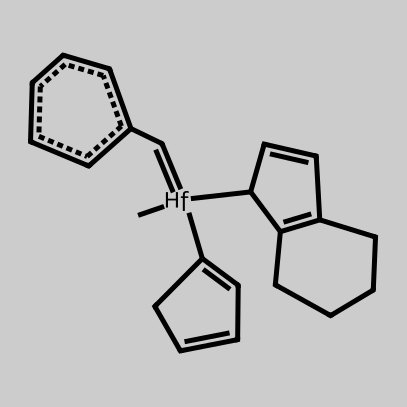 [CH3][Hf](=[CH]c1ccccc1)([C]1=CC=CC1)[CH]1C=CC2=C1CCCC2